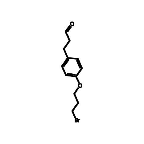 O=CCCc1ccc(OCCCBr)cc1